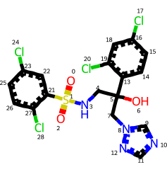 O=S(=O)(NCC(O)(Cn1cncn1)c1ccc(Cl)cc1Cl)c1cc(Cl)ccc1Cl